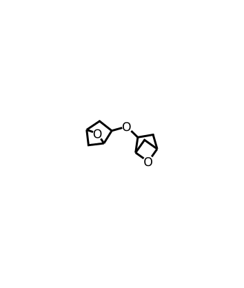 C1C2CC(OC3CC4CC3O4)C1O2